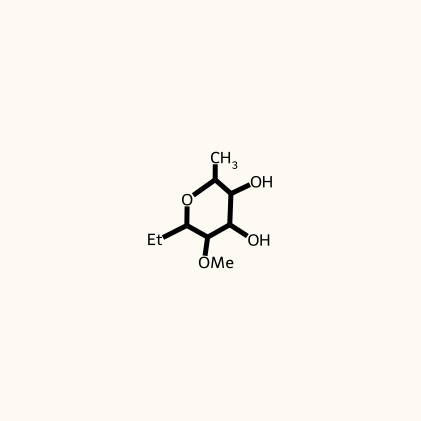 CCC1OC(C)C(O)C(O)C1OC